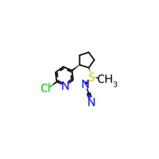 CS(=NC#N)[C@@H]1CCC[C@@H]1c1ccc(Cl)nc1